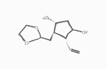 C=C[C@H]1C(O)C[C@@H](O)[C@@H]1CC1OCCO1